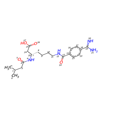 CC(C)CC(=O)N[C@@H](CCCCNC(=O)c1ccc(C(=N)N)cc1)CC(=O)O